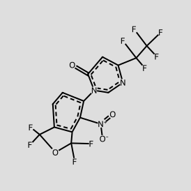 O=c1cc(C(F)(F)C(F)(F)F)ncn1-c1ccc2c(c1[N+](=O)[O-])C(F)(F)OC2(F)F